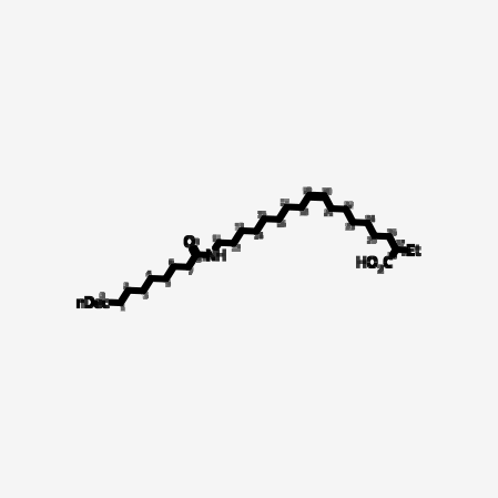 CCCCCCCCCCCCCCCCCC(=O)NCCCCCCCC/C=C\CCCCCCC(CC)C(=O)O